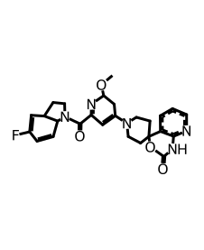 COC1CC(N2CCC3(CC2)OC(=O)Nc2ncccc23)=CC(C(=O)N2CCC3C=C(F)C=CC32)=N1